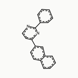 c1ccc(-c2nccc(-c3ccc4ccccc4c3)n2)cc1